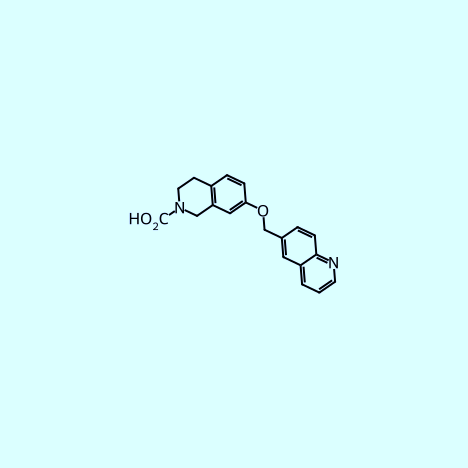 O=C(O)N1CCc2ccc(OCc3ccc4ncccc4c3)cc2C1